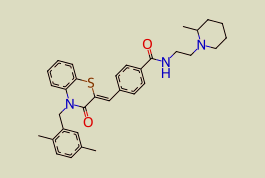 Cc1ccc(C)c(CN2C(=O)C(=Cc3ccc(C(=O)NCCN4CCCCC4C)cc3)Sc3ccccc32)c1